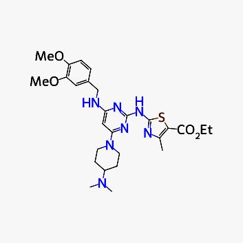 CCOC(=O)c1sc(Nc2nc(NCc3ccc(OC)c(OC)c3)cc(N3CCC(N(C)C)CC3)n2)nc1C